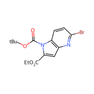 CCOC(=O)c1cc2nc(Br)ccc2n1C(=O)OC(C)(C)C